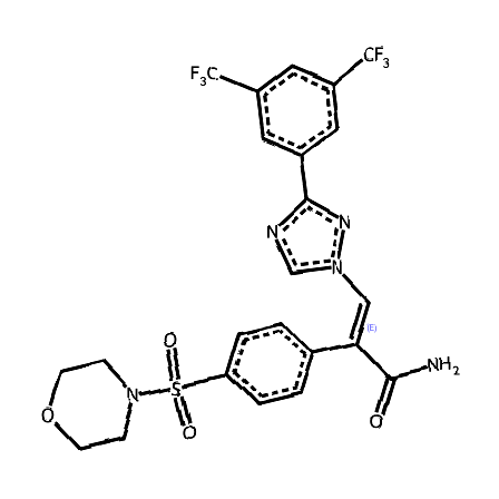 NC(=O)/C(=C/n1cnc(-c2cc(C(F)(F)F)cc(C(F)(F)F)c2)n1)c1ccc(S(=O)(=O)N2CCOCC2)cc1